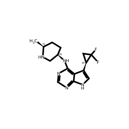 C[C@H]1CC[C@@H](Nc2ncnc3[nH]cc([C@H]4CC4(F)F)c23)CN1